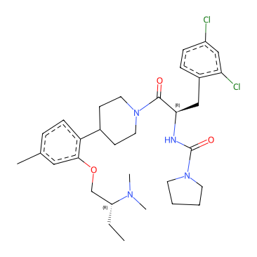 CC[C@H](COc1cc(C)ccc1C1CCN(C(=O)[C@@H](Cc2ccc(Cl)cc2Cl)NC(=O)N2CCCC2)CC1)N(C)C